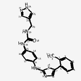 Cc1ccccc1-c1cnc(Nc2ccc(NC(=O)NCc3cn[nH]c3)cc2)s1